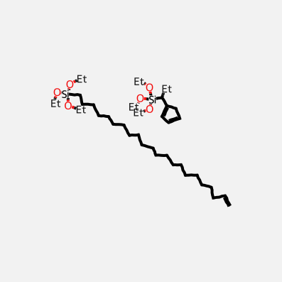 C=CCCCCCCCCCCCCCCCCCCCC[Si](OCC)(OCC)OCC.CCO[Si](OCC)(OCC)C(CC)C1=CC=CC1